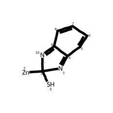 S[C]1([Zn])N=c2ccccc2=N1